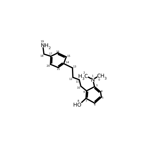 CN(C)c1cccc(O)c1CCCCc1ccc(CN)cc1